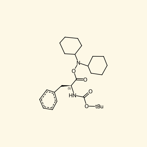 CC(C)(C)OC(=O)N[C@@H](Cc1ccccc1)C(=O)ON(C1CCCCC1)C1CCCCC1